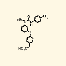 CCCCN(C(=O)Nc1ccc(C(F)(F)F)cc1)c1cccc(Sc2ccc(CC(=O)O)cc2)c1